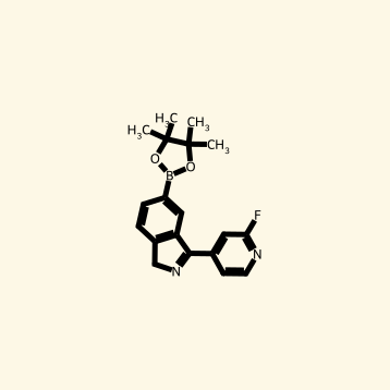 CC1(C)OB(c2ccc3c(c2)C(c2ccnc(F)c2)=NC3)OC1(C)C